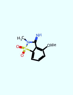 COc1cccc2c1C(=N)N(C)S2(=O)=O